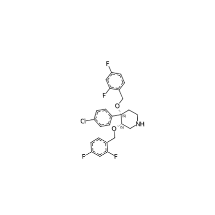 Fc1ccc(CO[C@H]2CNCC[C@]2(OCc2ccc(F)cc2F)c2ccc(Cl)cc2)c(F)c1